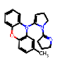 Cc1ccc2c(c1)N(C1=CCCN1C1=NCCC1)c1ccccc1O2